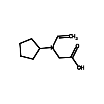 C=CN(CC(=O)O)C1CCCC1